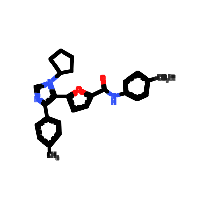 CCOC(=O)c1ccc(NC(=O)c2ccc(-c3c(-c4ccc(C)cc4)ncn3C3CCCC3)o2)cc1